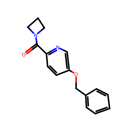 O=C(c1ccc(OCc2ccccc2)cn1)N1CCC1